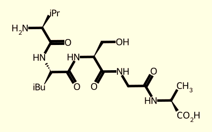 CC[C@H](C)[C@H](NC(=O)[C@@H](N)C(C)C)C(=O)N[C@@H](CO)C(=O)NCC(=O)N[C@@H](C)C(=O)O